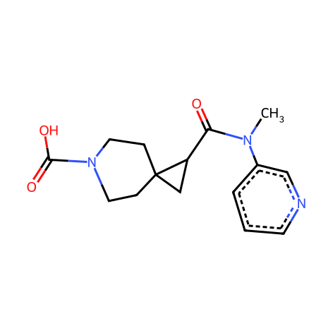 CN(C(=O)C1CC12CCN(C(=O)O)CC2)c1cccnc1